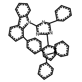 c1ccc(-c2nc(-c3ccccc3)nc(-n3c4ccccc4c4cccc(-c5ccc(N(c6ccccc6)c6ccccc6)cc5)c43)n2)cc1